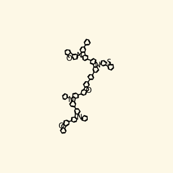 c1ccc(-c2ccc3c(c2)c2cc(-c4ccc5c(c4)c4cc(-c6ccc(-c7ccc8c(c7)oc7ccc(-c9ccc%10c(c9)c9cc(-c%11ccc%12c(c%11)c%11cc(-c%13ccc%14oc%15ccccc%15c%14c%13)ccc%11n%12-c%11ccccc%11)ccc9n%10-c9ccccc9)cc78)cc6)ccc4n5-c4ccc5sc6ccccc6c5c4)ccc2n3-c2ccc3oc4ccccc4c3c2)cc1